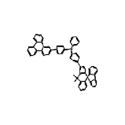 CC1(C)c2ccccc2C2(c3ccccc3-c3ccccc32)c2ccc(-c3ccc(N(c4ccccc4)c4ccc(-c5ccc6c7ccccc7c7ccccc7c6c5)cc4)cc3)cc21